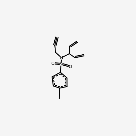 C#CCN(C(C=C)C=C)S(=O)(=O)c1ccc(C)cc1